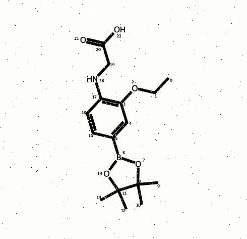 CCOc1cc(B2OC(C)(C)C(C)(C)O2)ccc1NCC(=O)O